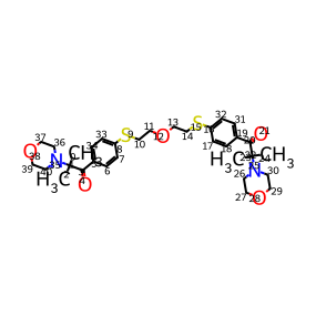 CC(C)(C(=O)c1ccc(SCCOCCSc2ccc(C(=O)C(C)(C)N3CCOCC3)cc2)cc1)N1CCOCC1